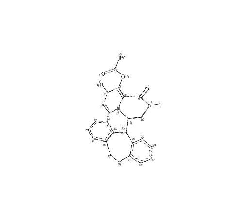 CC(C)C(=O)OC1=C2C(=O)N(C)CC(C3c4ccccc4CCc4ccccc43)N2N=CC1O